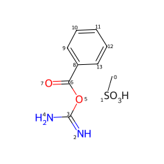 CS(=O)(=O)O.N=C(N)OC(=O)c1ccccc1